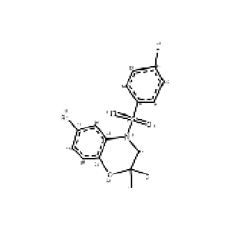 CC1(C)CN(S(=O)(=O)c2ccc(F)cc2)c2cc(Br)ccc2O1